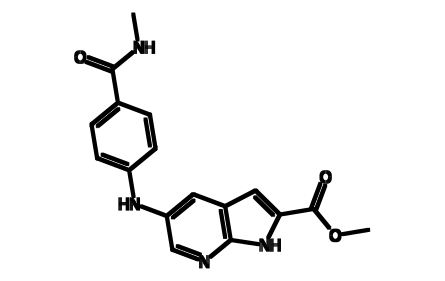 CNC(=O)c1ccc(Nc2cnc3[nH]c(C(=O)OC)cc3c2)cc1